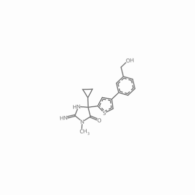 CN1C(=N)NC(c2cc(-c3cccc(CO)c3)cs2)(C2CC2)C1=O